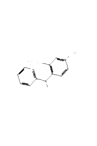 COc1cc(O)ccc1C(C)c1ccccc1